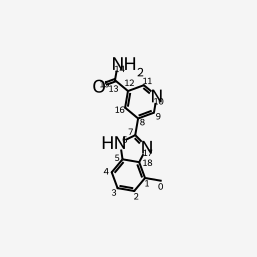 Cc1cccc2[nH]c(-c3cncc(C(N)=O)c3)nc12